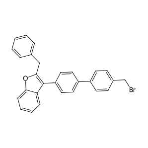 BrCc1ccc(-c2ccc(-c3c(Cc4ccccc4)oc4ccccc34)cc2)cc1